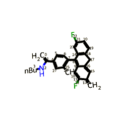 C=C(NCCCC)c1ccc(C2=c3cc(F)c(=C)cc3Cc3ccc(F)cc32)c(C)c1